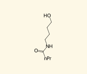 [CH2]CCC(=O)NCCCCO